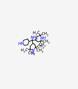 CC1(C)CC(C(N)(C2CCNCC2)C2CC(C)(C)NC(C)(C)C2)CC(C)(C)N1